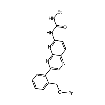 CCNC(=O)Nc1ccc2ncc(-c3ccccc3COC(C)C)nc2n1